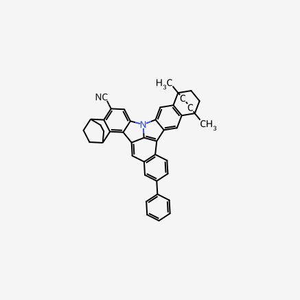 CC12CCC(C)(CC1)c1cc3c(cc12)c1c2ccc(-c4ccccc4)cc2cc2c4c5c(c(C#N)cc4n3c21)C1CCC5CC1